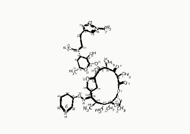 CC[C@H]1OC(=O)[C@H](C)C(=O)[C@H](C)[C@@H](O[C@@H]2O[C@H](C)C[C@H](N(C)CCc3cn(P)nn3)[C@H]2O)[C@@]2(C)C[C@@H](CO2)/C(=N\O[C@@H]2CCCNC2)[C@H](C)[C@@H](O)[C@]1(C)O